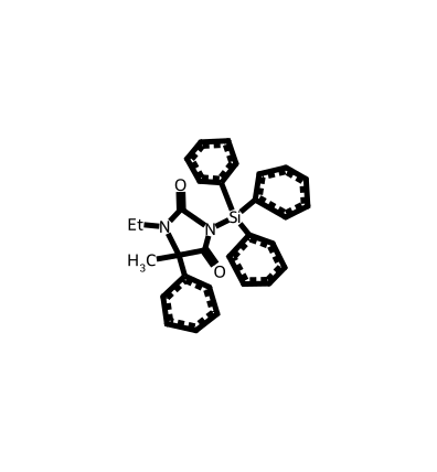 CCN1C(=O)N([Si](c2ccccc2)(c2ccccc2)c2ccccc2)C(=O)C1(C)c1ccccc1